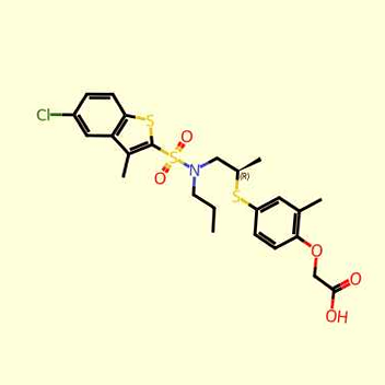 CCCN(C[C@@H](C)Sc1ccc(OCC(=O)O)c(C)c1)S(=O)(=O)c1sc2ccc(Cl)cc2c1C